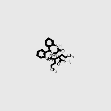 Cc1ccccc1C1=N[C@@H](C(CCC(F)(F)F)(C(N)=O)C(CCC(F)(F)F)C(N)=O)C(=O)Nc2ccccc21